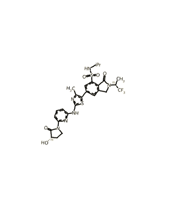 Cc1nc(Nc2cccc(N3CC[C@H](O)C3=O)n2)sc1-c1cc2c(c(S(=O)(=O)NC(C)C)c1)C(=O)N([C@@H](C)C(F)(F)F)C2